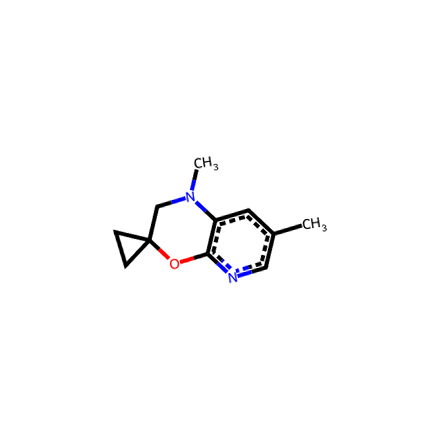 Cc1cnc2c(c1)N(C)CC1(CC1)O2